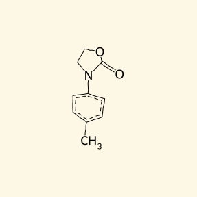 Cc1ccc(N2CCOC2=O)cc1